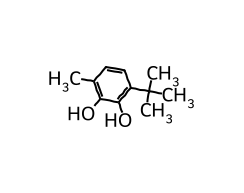 Cc1ccc(C(C)(C)C)c(O)c1O